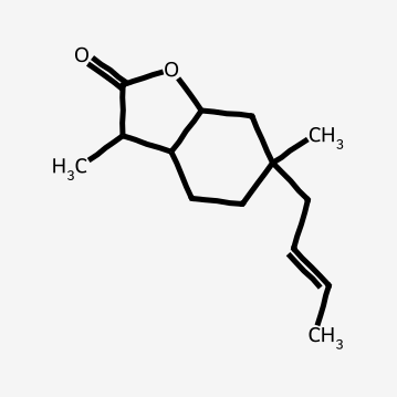 C/C=C/CC1(C)CCC2C(C1)OC(=O)C2C